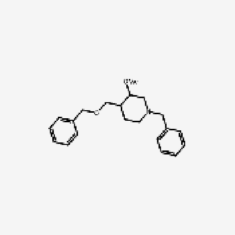 COC1CN(Cc2ccccc2)CCC1COCc1ccccc1